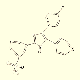 CS(=O)(=O)c1cccc(-c2nc(-c3ccc(F)cc3)c(-c3ccncc3)[nH]2)c1